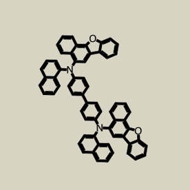 c1ccc2c(N(c3ccc(-c4ccc(N(c5cccc6ccccc56)c5cc6c7ccccc7oc6c6ccccc56)cc4)cc3)c3cc4c5ccccc5oc4c4ccccc34)cccc2c1